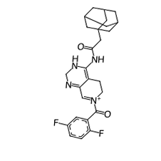 O=C(CC12CC3CC(CC(C3)C1)C2)NC1=C2CC[N+](C(=O)c3cc(F)ccc3F)=CC2=NCN1